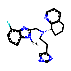 Cn1c(CN(CCc2c[nH]cn2)[C@H]2CCCc3cccnc32)nc2c(F)cccc21